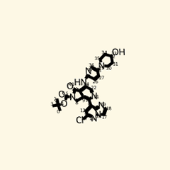 CC(C)(C)OC(=O)N1Cc2c(-c3cc(Cl)nn4ccnc34)ncc(Nc3ccc(N4CCC(O)CC4)cn3)c2C1=O